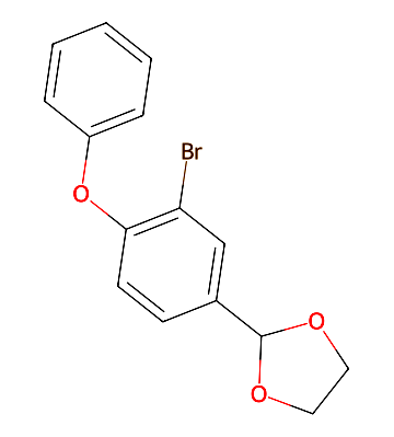 Brc1cc(C2OCCO2)ccc1Oc1ccccc1